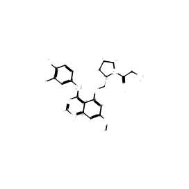 COc1cc(OC[C@H]2CCCN2C(=O)CO)c2c(Nc3ccc(F)c(Cl)c3)ncnc2c1